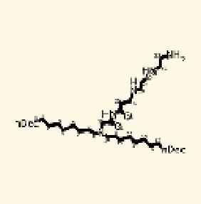 CCCCCCCCCCCCCCCCCCN(CCCCCCCCCCCCCCCCCC)CC(=O)NC(=O)CCNCCCNCCN